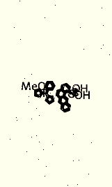 COc1ccccc1P(C1CCCC1)C1CCCC1.OB(O)Oc1cccc2ccc3cc4ccccc4cc3c12